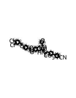 N#Cc1ccc(-c2ccc(C[C@H](NC(=O)C3Cc4cc5c(cc4CN3C(=O)C3CCOC3)O[C@@H](c3ccc(OCc4ccc(Cl)c(Cl)c4)cc3)CO5)C(=O)O)cc2)cc1